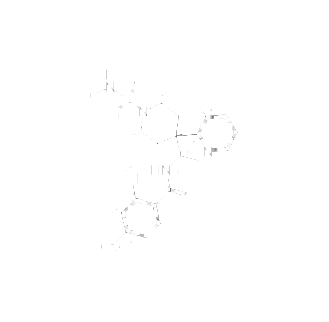 CCNS(=O)(=O)N1CCC(c2ncccc2F)(C(C)NC(=O)c2ccc(Cl)cc2Cl)CC1